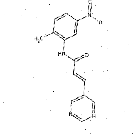 Cc1ccc([N+](=O)[O-])cc1NC(=O)/C=C/c1cncnc1